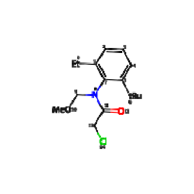 CCc1cccc(C(C)(C)C)c1N(COC)C(=O)CCl